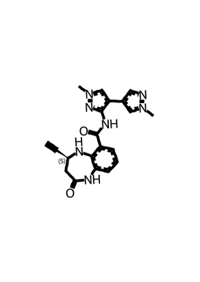 C#C[C@@H]1CC(=O)Nc2cccc(C(=O)Nc3nn(C)cc3-c3cnn(C)c3)c2N1